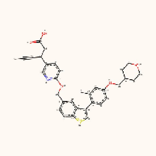 CC#CC(CC(=O)O)c1ccc(OCc2ccc3scc(-c4ccc(OCC5CCOCC5)cc4C)c3c2)nc1